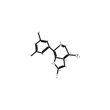 Cc1cc(C)cc(-c2ncc(C(F)(F)F)c3cc(I)sc23)c1